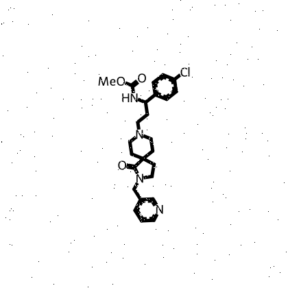 COC(=O)NC(CCN1CCC2(CC1)CCN(Cc1cccnc1)C2=O)c1ccc(Cl)cc1